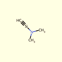 C#[Si]N(C)C